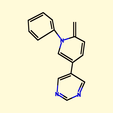 C=C1C=CC(c2cncnc2)=CN1c1ccccc1